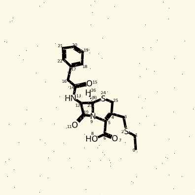 CCSCC1=C(C(=O)O)N2C(=O)C(NC(=O)Cc3ccccc3)[C@H]2SC1